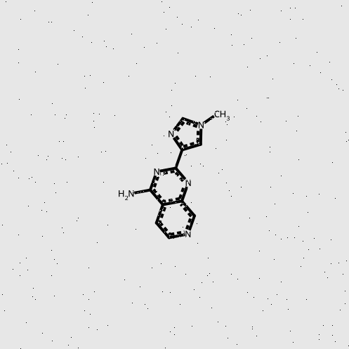 Cn1cnc(-c2nc(N)c3ccncc3n2)c1